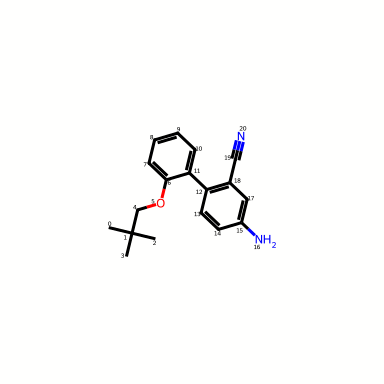 CC(C)(C)COc1ccccc1-c1ccc(N)cc1C#N